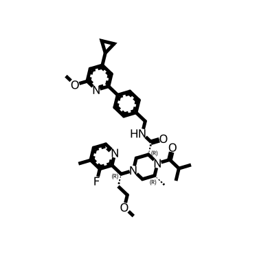 COCC[C@H](c1nccc(C)c1F)N1C[C@@H](C)N(C(=O)C(C)C)[C@@H](C(=O)NCc2ccc(-c3cc(C4CC4)cc(OC)n3)cc2)C1